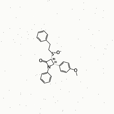 COc1ccc([C@H]2[C@@H]([S+]([O-])CCc3ccccc3)C(=O)N2c2ccccc2)cc1